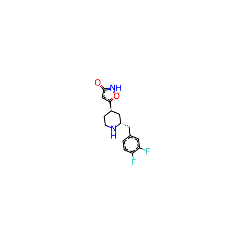 O=c1cc([C@@H]2CCN[C@@H](Cc3ccc(F)c(F)c3)C2)o[nH]1